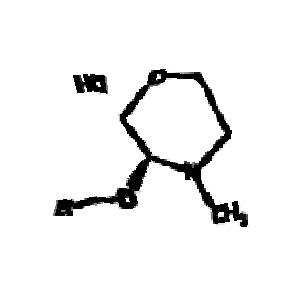 CCO[C@H]1COCCN1C.Cl